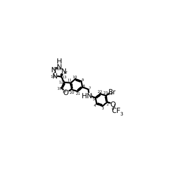 FC(F)(F)Oc1ccc(NCc2ccc3c(-c4nn[nH]n4)coc3c2)cc1Br